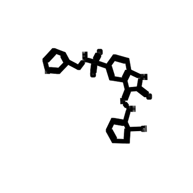 O=C1Nc2ccc(S(=O)(=O)NCc3cccnc3)cc2/C1=N/Nc1ccccc1Cl